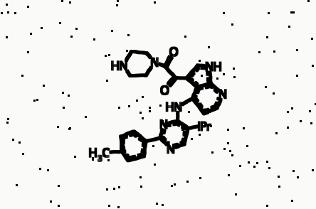 Cc1ccc(-c2ncc(C(C)C)c(Nc3ccnc4[nH]cc(C(=O)C(=O)N5CCNCC5)c34)n2)cc1